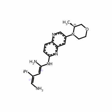 CC(C)C(=C/N)/C=C(\N)Nc1ccc2ncc(N3CCOC[C@@H]3C)cc2n1